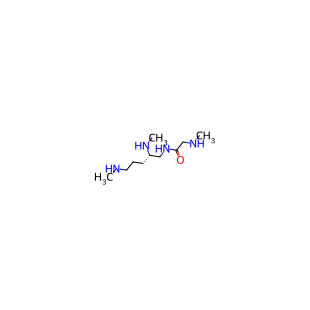 CNCCC[C@@H](CNC(=O)CNC)NC